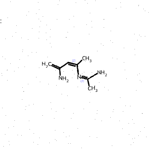 C=C(N)/C=C(C)\N=C(\C)N